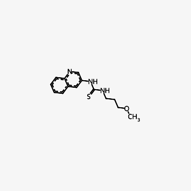 COCCCNC(=S)Nc1cnc2ccccc2c1